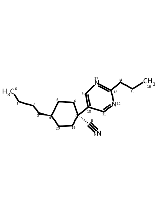 CCCC[C@H]1CC[C@@](C#N)(c2cnc(CCC)nc2)CC1